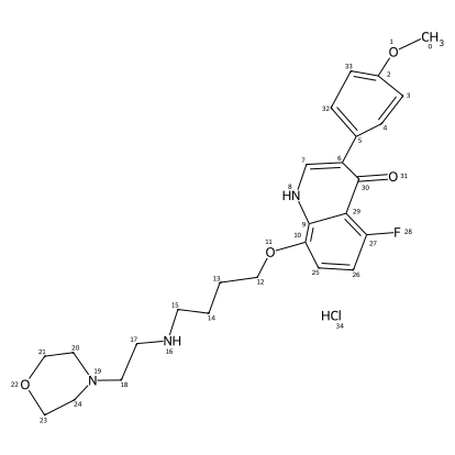 COc1ccc(-c2c[nH]c3c(OCCCCNCCN4CCOCC4)ccc(F)c3c2=O)cc1.Cl